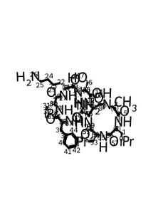 CC(C)C[C@@H]1NC(=O)[C@H](C)NC(=O)C(NC(=O)[C@H](CO)NC(=O)[C@@H](CCCCN)NC(=O)[C@@H](CC(C)C)NC(=O)[C@@H](N)Cc2ccccc2)[C@H](C(N)=O)NC(=O)[C@H](CC(C)C)NC1=O